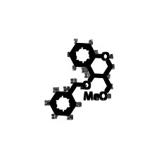 COCC1COc2ccccc2C1OCc1ccccc1